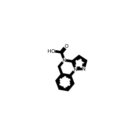 O=C(O)N1Cc2ccccc2-n2nccc21